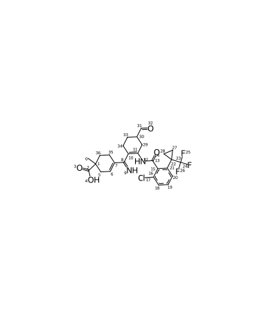 CC1(C(=O)O)CC=C(C(=N)C2=C(NC(=O)c3c(Cl)cccc3C3(C(F)(F)F)CC3)CC(C=O)CC2)CC1